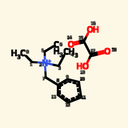 CC[N+](CC)(CC)Cc1ccccc1.O=C(O)C(=O)O